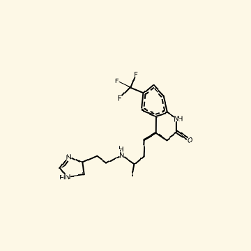 CC(CCC1CC(=O)Nc2ccc(C(F)(F)F)cc21)NCCC1CNC=N1